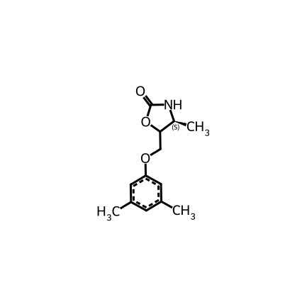 Cc1cc(C)cc(OCC2OC(=O)N[C@H]2C)c1